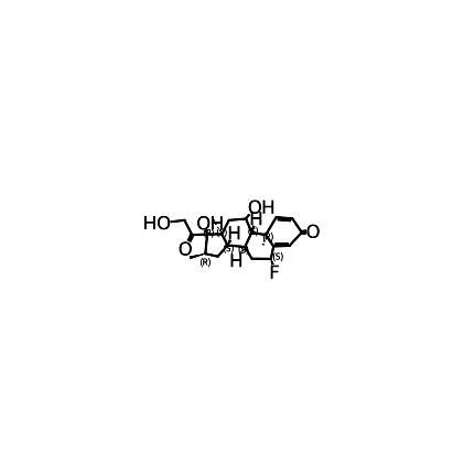 C[C@@H]1C[C@H]2[C@@H]3C[C@H](F)C4=CC(=O)C=C[C@]4(C)[C@H]3C(O)C[C@]2(C)[C@@]1(O)C(=O)CO